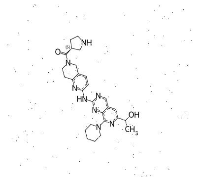 CC(O)c1cc2cnc(Nc3ccc4c(n3)CCN(C(=O)[C@H]3CCNC3)C4)nc2c(N2CCCCC2)n1